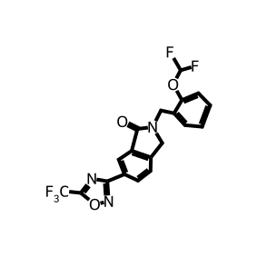 O=C1c2cc(-c3noc(C(F)(F)F)n3)ccc2CN1Cc1ccccc1OC(F)F